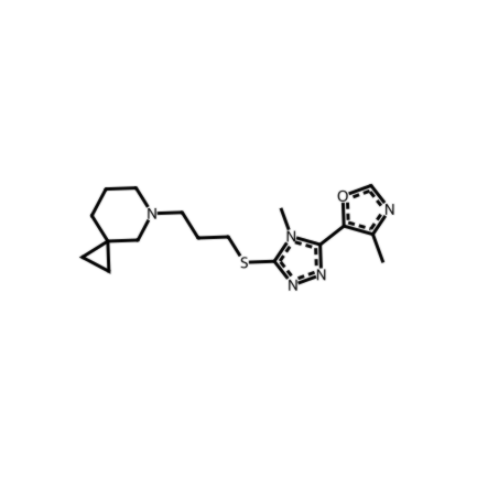 Cc1ncoc1-c1nnc(SCCCN2CCCC3(CC3)C2)n1C